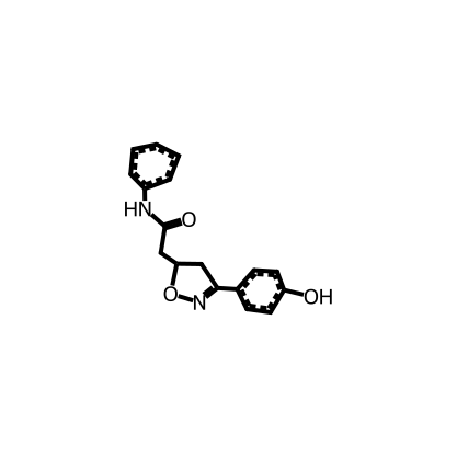 O=C(CC1CC(c2ccc(O)cc2)=NO1)Nc1ccccc1